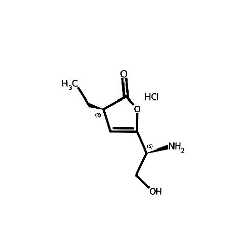 CC[C@@H]1C=C([C@@H](N)CO)OC1=O.Cl